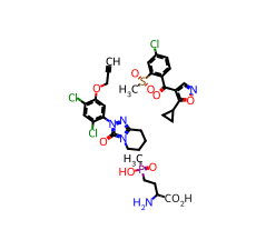 C#CCOc1cc(-n2nc3n(c2=O)CCCC3)c(Cl)cc1Cl.CP(=O)(O)CCC(N)C(=O)O.CS(=O)(=O)c1cc(Cl)ccc1C(=O)c1cnoc1C1CC1